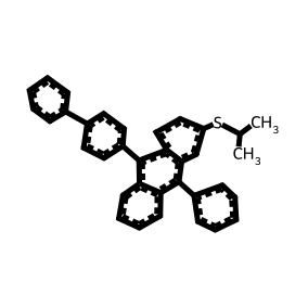 CC(C)Sc1ccc2c(-c3ccc(-c4ccccc4)cc3)c3ccccc3c(-c3ccccc3)c2c1